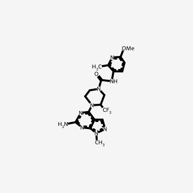 COc1ccc(NC(=O)N2CCN(c3nc(N)nc4c3cnn4C)C(C(F)(F)F)C2)c(C)n1